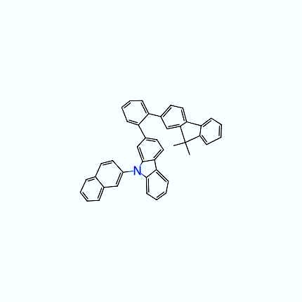 CC1(C)c2ccccc2-c2ccc(-c3ccccc3-c3ccc4c5ccccc5n(-c5ccc6ccccc6c5)c4c3)cc21